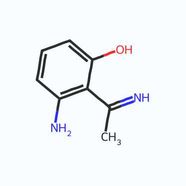 CC(=N)c1c(N)cccc1O